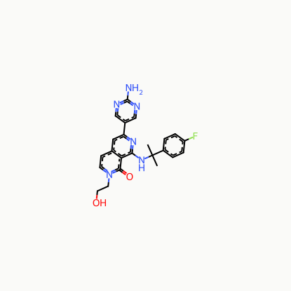 CC(C)(Nc1nc(-c2cnc(N)nc2)cc2ccn(CCO)c(=O)c12)c1ccc(F)cc1